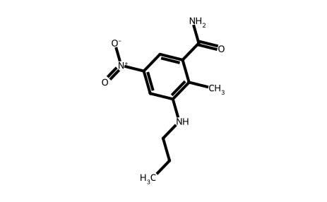 CCCNc1cc([N+](=O)[O-])cc(C(N)=O)c1C